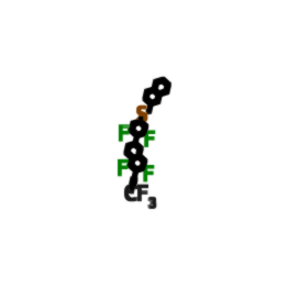 Fc1cc2cc(-c3c(F)cc(SCc4ccc5ccccc5c4)cc3F)ccc2c(F)c1C#CC(F)(F)F